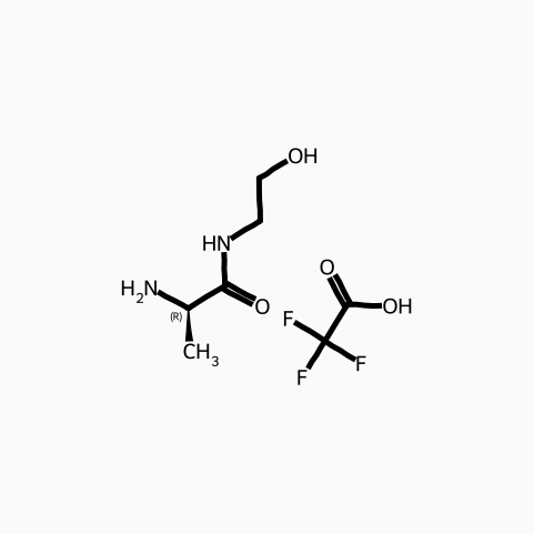 C[C@@H](N)C(=O)NCCO.O=C(O)C(F)(F)F